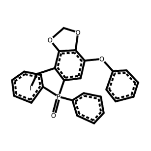 O=P(c1ccccc1)(c1ccccc1)c1cc(Oc2ccccc2)c2c(c1CI)OCO2